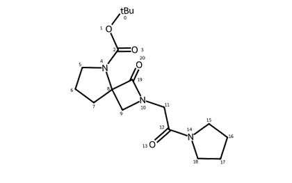 CC(C)(C)OC(=O)N1CCCC12CN(CC(=O)N1CCCC1)C2=O